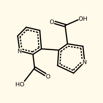 O=C(O)c1cnccc1-c1cccnc1C(=O)O